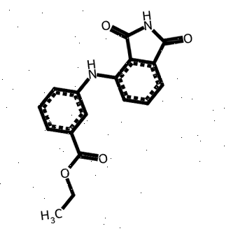 CCOC(=O)c1cccc(Nc2cccc3c2C(=O)NC3=O)c1